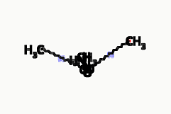 CCCCCCCC/C=C/CCCCCCCCOP(=O)(NCCNC)OCCCCCCCC/C=C/CCCCCCCC